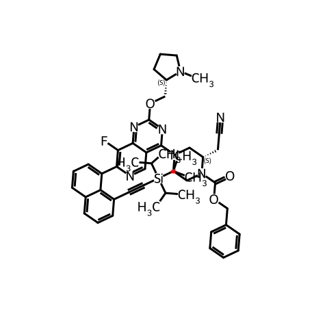 CC(C)[Si](C#Cc1cccc2cccc(-c3ncc4c(N5CCN(C(=O)OCc6ccccc6)[C@@H](CC#N)C5)nc(OC[C@@H]5CCCN5C)nc4c3F)c12)(C(C)C)C(C)C